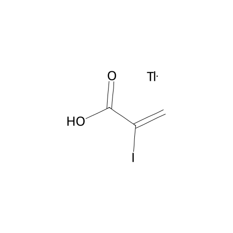 C=C(I)C(=O)O.[Tl]